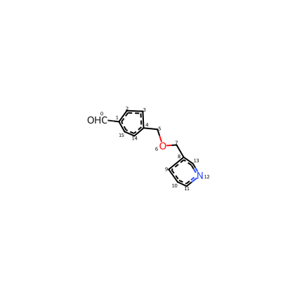 O=Cc1ccc(COCc2cccnc2)cc1